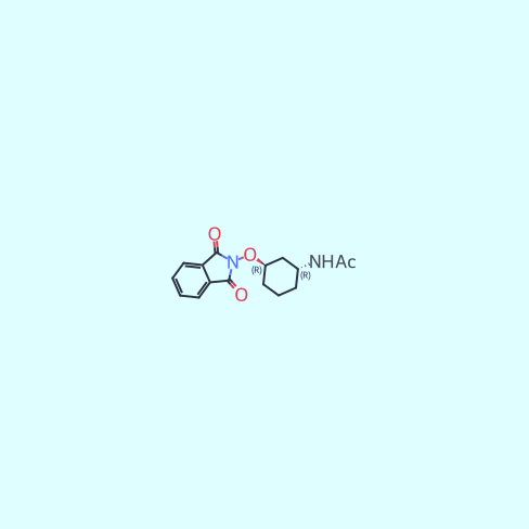 CC(=O)N[C@@H]1CCC[C@@H](ON2C(=O)c3ccccc3C2=O)C1